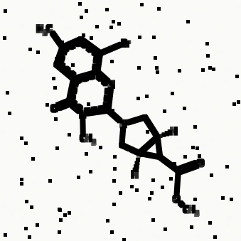 COC(=O)C1[C@H]2CN(c3nc4c(Br)cc(C)cc4c(=O)n3C)C[C@@H]12